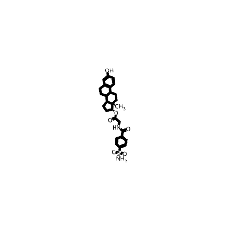 C[C@]12CCC3c4ccc(O)cc4CCC3C1CC[C@@H]2OC(=O)CNC(=O)c1ccc(S(N)(=O)=O)cc1